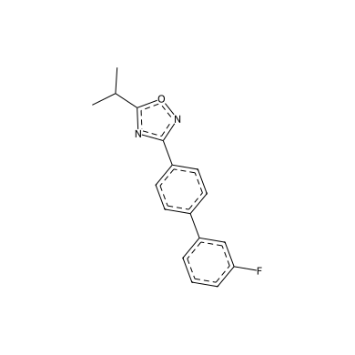 CC(C)c1nc(-c2ccc(-c3cccc(F)c3)cc2)no1